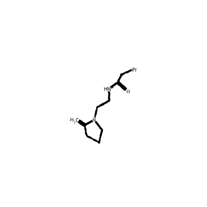 C=C1CCCN1CCNC(=O)CC(C)C